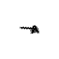 CCCCCCCCCCc1cccc(OC(=O)CC)c1OC(=O)CC